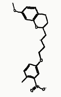 COc1ccc2c(c1)OC(C[CH]CCOc1ccc(C)c([N+](=O)[O-])c1)CC2